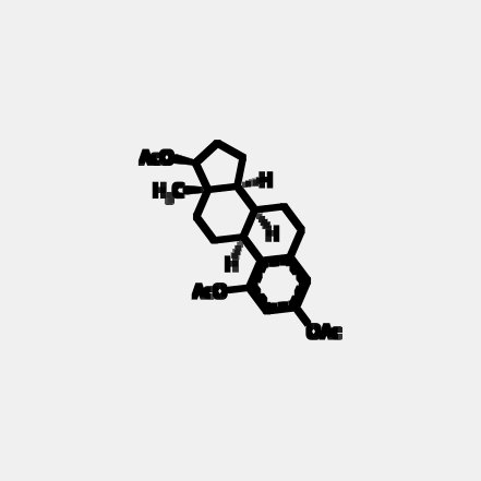 CC(=O)Oc1cc2c(c(OC(C)=O)c1)[C@H]1CC[C@]3(C)[C@@H](OC(C)=O)CC[C@H]3[C@H]1CC2